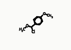 COc1ccc(C(Cl)OC)cc1